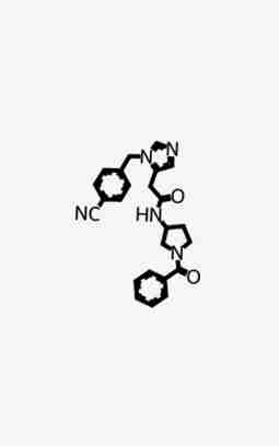 N#Cc1ccc(Cn2cncc2CC(=O)NC2CCN(C(=O)c3ccccc3)C2)cc1